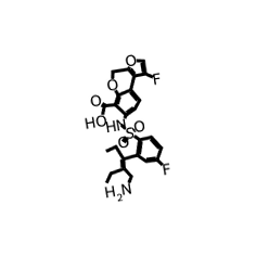 CCC(CN)=C(CC)c1cc(F)ccc1S(=O)(=O)Nc1ccc2c(c1C(=O)O)OCc1occ(F)c1-2